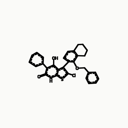 O=c1[nH]c2sc(Cl)c(-c3ccc4c(c3OCc3ccccc3)CCCC4)c2c(O)c1-c1ccccc1